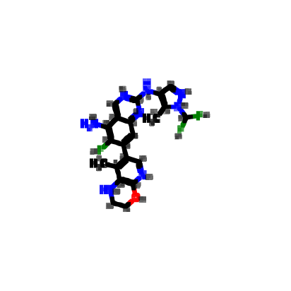 Cc1c(-c2cc3nc(Nc4cnn(C(F)F)c4C)ncc3c(N)c2F)cnc2c1NCCO2